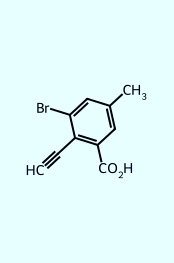 C#Cc1c(Br)cc(C)cc1C(=O)O